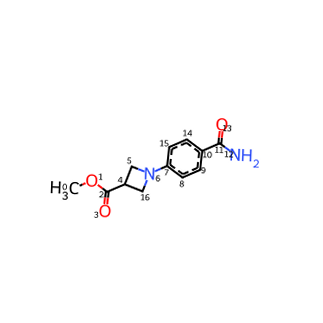 COC(=O)C1CN(c2ccc(C(N)=O)cc2)C1